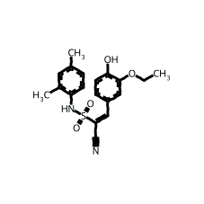 CCOc1cc(C=C(C#N)S(=O)(=O)Nc2ccc(C)cc2C)ccc1O